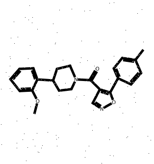 COc1ccccc1C1CCN(C(=O)c2cnoc2-c2ccc(C)cc2)CC1